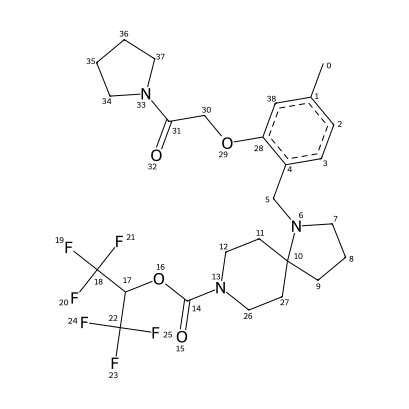 Cc1ccc(CN2CCCC23CCN(C(=O)OC(C(F)(F)F)C(F)(F)F)CC3)c(OCC(=O)N2CCCC2)c1